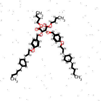 CCCCC[C@H]1CC[C@H](CCCOc2ccc(CO[C@@H](C(=O)OCCCC)[C@@H](OCc3ccc(OCCC[C@H]4CC[C@H](CCCCC)CC4)cc3)C(=O)OCCCC)cc2)CC1